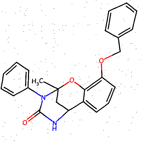 CC12CC(NC(=O)N1c1ccccc1)c1cccc(OCc3ccccc3)c1O2